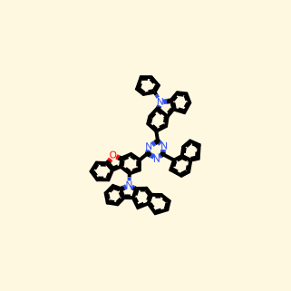 c1ccc(-n2c3ccccc3c3cc(-c4nc(-c5cc(-n6c7ccccc7c7cc8ccccc8cc76)c6c(c5)oc5ccccc56)nc(-c5cccc6ccccc56)n4)ccc32)cc1